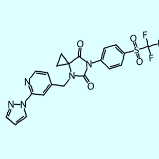 O=C1N(c2ccc(S(=O)(=O)C(F)(F)F)cc2)C(=O)C2(CC2)N1Cc1ccnc(-n2cccn2)c1